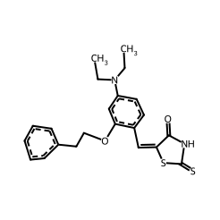 CCN(CC)c1ccc(C=C2SC(=S)NC2=O)c(OCCc2ccccc2)c1